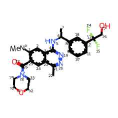 CNc1cc2c(NC(C)c3cccc(C(F)(F)CO)c3)nnc(C)c2cc1C(=O)N1CCOCC1